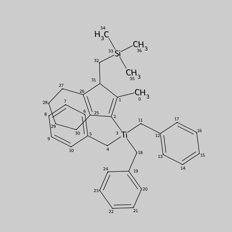 CC1=[C]([Ti]([CH2]c2ccccc2)([CH2]c2ccccc2)[CH2]c2ccccc2)C2=C(CCCC2)C1C[Si](C)(C)C